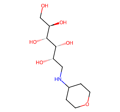 OC[C@@H](O)[C@@H](O)[C@H](O)[C@@H](O)CNC1CCOCC1